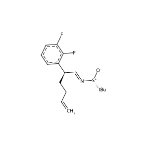 C=CCC[C@H](/C=N/[S@+]([O-])C(C)(C)C)c1cccc(F)c1F